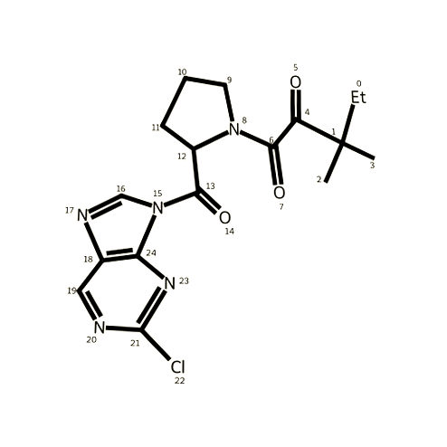 CCC(C)(C)C(=O)C(=O)N1CCCC1C(=O)n1cnc2cnc(Cl)nc21